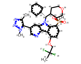 Cc1nnn(C)c1-c1cnc2c3c(OCC(C)(F)F)ccc(S(C)(=O)=O)c3n([C@H](c3ccccc3)C3CCOCC3)c2c1